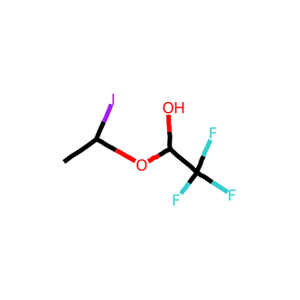 CC(I)OC(O)C(F)(F)F